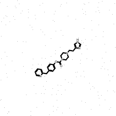 O=C(Oc1ccc(Cc2ccccn2)cc1)N1CCN(CCc2c[nH]cn2)CC1